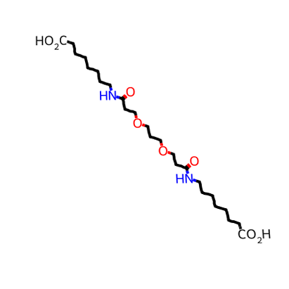 O=C(O)CCCCCCCNC(=O)CCOCCCOCCC(=O)NCCCCCCCC(=O)O